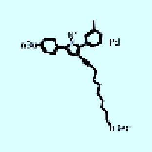 CCCCCCCCCCCCCCCCCCC#CC1=C(c2cccc(C)c2)[N+](=[N-])C(c2ccc(CCCC)cc2)=C1.[Pd]